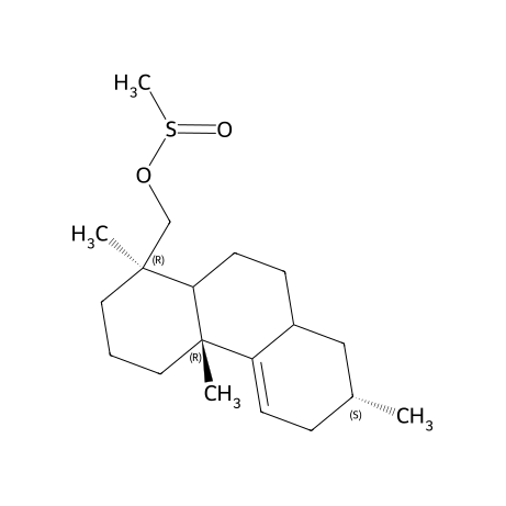 C[C@@H]1CC=C2C(CCC3[C@](C)(COS(C)=O)CCC[C@@]23C)C1